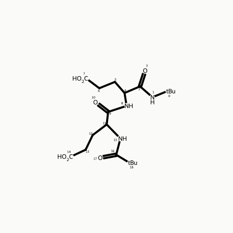 CC(C)(C)NC(=O)C(CCC(=O)O)NC(=O)C(CCC(=O)O)NC(=O)C(C)(C)C